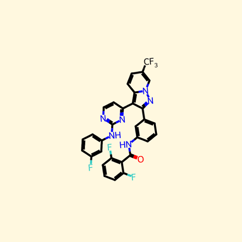 O=C(Nc1cccc(-c2nn3cc(C(F)(F)F)ccc3c2-c2ccnc(Nc3cccc(F)c3)n2)c1)c1c(F)cccc1F